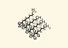 CCCCCC(=O)CC(=O)[O-].CCCCCC(=O)CC(=O)[O-].CCCCCC(=O)CC(=O)[O-].CCCCCC(=O)CC(=O)[O-].[Zr+4]